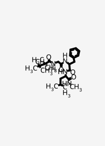 CNC(=O)C(CC(C)C)NC(=O)C(Cc1ccccc1)NC(=O)CNC(=O)C(C)(C)C(C)(C)C